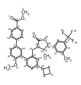 COC(=O)c1ccc(-c2ccc(OC)c(-c3ccc(N4CCC4)nc3CN3C(=O)O[C@H](c4cc(C)cc(C(F)(F)F)c4)[C@@H]3C)c2)nc1